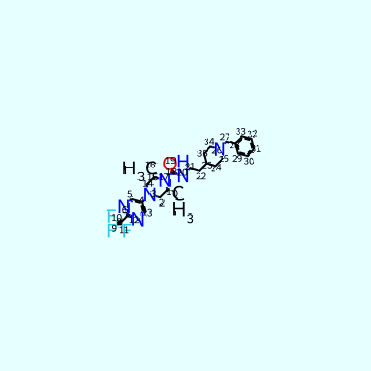 C[C@@H]1CN(c2cnc(C(F)(F)F)nc2)C[C@H](C)N1C(=O)NCCC1CCN(Cc2ccccc2)CC1